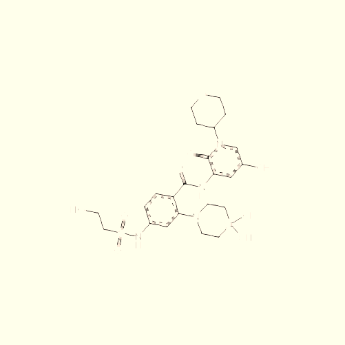 Cc1cc(NC(=O)c2ccc(NS(=O)(=O)CCO)cc2N2CC[Si](C)(C)CC2)c(=O)n(C2CCOCC2)c1